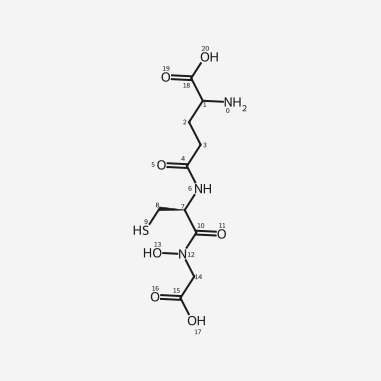 NC(CCC(=O)N[C@H](CS)C(=O)N(O)CC(=O)O)C(=O)O